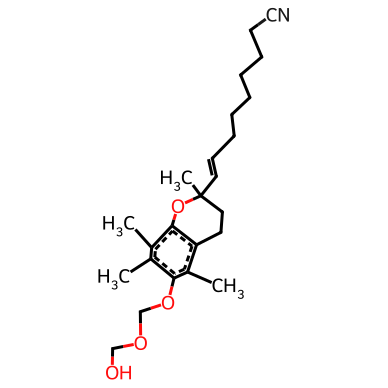 Cc1c(C)c2c(c(C)c1OCOCO)CCC(C)(/C=C/CCCCCCC#N)O2